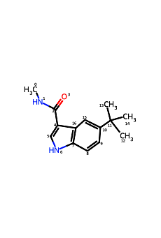 CNC(=O)c1c[nH]c2ccc(C(C)(C)C)cc12